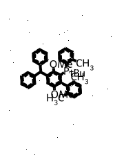 COc1cc(C(c2ccccc2)c2ccccc2)c(OC)c(P(c2ccccc2C)C(C)(C)C)c1-c1c(C)cccc1C